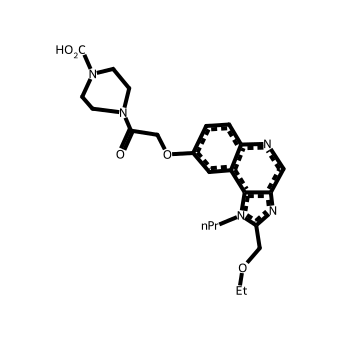 CCCn1c(COCC)nc2cnc3ccc(OCC(=O)N4CCN(C(=O)O)CC4)cc3c21